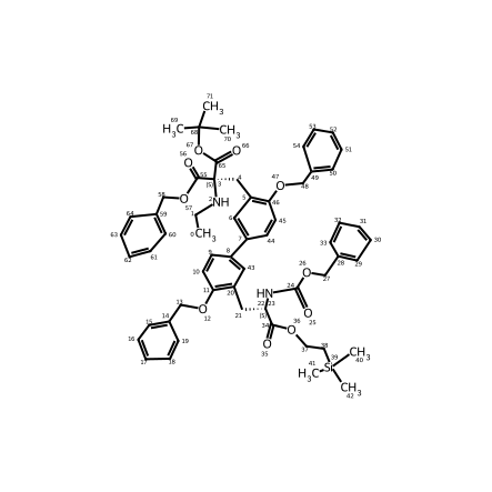 CCN[C@@](Cc1cc(-c2ccc(OCc3ccccc3)c(C[C@H](NC(=O)OCc3ccccc3)C(=O)OCC[Si](C)(C)C)c2)ccc1OCc1ccccc1)(C(=O)OCc1ccccc1)C(=O)OC(C)(C)C